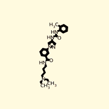 CCN(CC)CCCCNC(=O)c1cccc(-n2cc(NC(=O)Nc3ccccc3C)cn2)c1